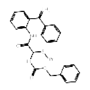 C=C(c1ccccc1)c1ccccc1NC(=O)C(NC(=O)OCc1ccccc1)SC(C)C